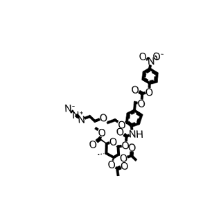 COC(=O)[C@H]1OC(OC(=O)Nc2ccc(COC(=O)Oc3ccc([N+](=O)[O-])cc3)cc2OCCOCCN=[N+]=[N-])[C@H](OC(C)=O)[C@@H](OC(C)=O)[C@@H]1C